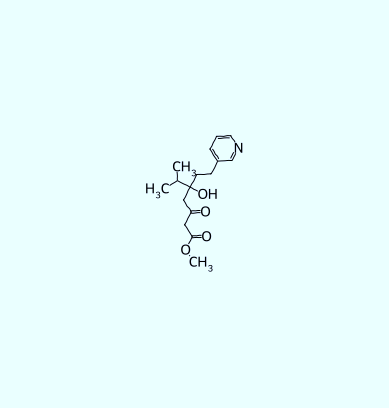 COC(=O)CC(=O)CC(O)(CCc1cccnc1)C(C)C